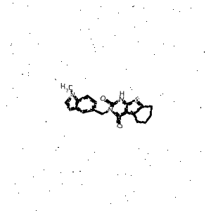 Cn1ccc2cc(Cn3c(=O)[nH]c4sc5c(c4c3=O)CCCC5)ccc21